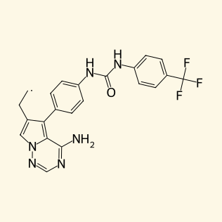 [CH2]Cc1cn2ncnc(N)c2c1-c1ccc(NC(=O)Nc2ccc(C(F)(F)F)cc2)cc1